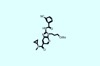 COCCCn1c(NC(=O)c2cccc(C#N)c2)nc2cc(C(=O)N(C)C3CC3)cnc21